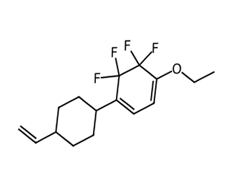 C=CC1CCC(C2=CC=C(OCC)C(F)(F)C2(F)F)CC1